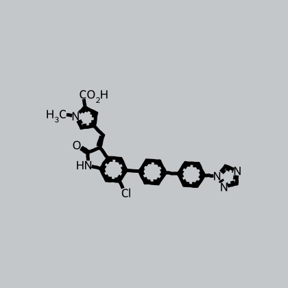 Cn1cc(C=C2C(=O)Nc3cc(Cl)c(-c4ccc(-c5ccc(-n6cncn6)cc5)cc4)cc32)cc1C(=O)O